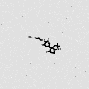 CC1(C)Cc2c(ccc(F)c2-c2cc(F)c(OCCCC(=O)O)c(F)c2)N1